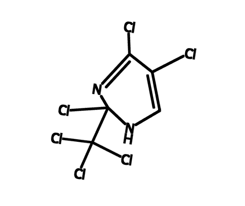 ClC1=CNC(Cl)(C(Cl)(Cl)Cl)N=C1Cl